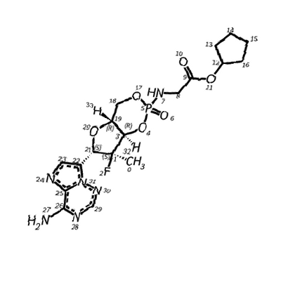 C[C@@]1(F)[C@@H]2OP(=O)(NCC(=O)OC3CCCC3)OC[C@H]2O[C@H]1c1cnc2c(N)ncnn12